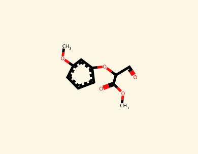 COC(=O)C(C=O)Oc1cccc(OC)c1